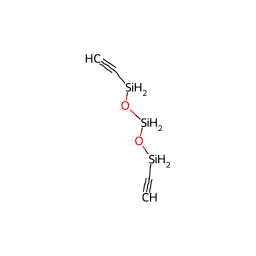 C#C[SiH2]O[SiH2]O[SiH2]C#C